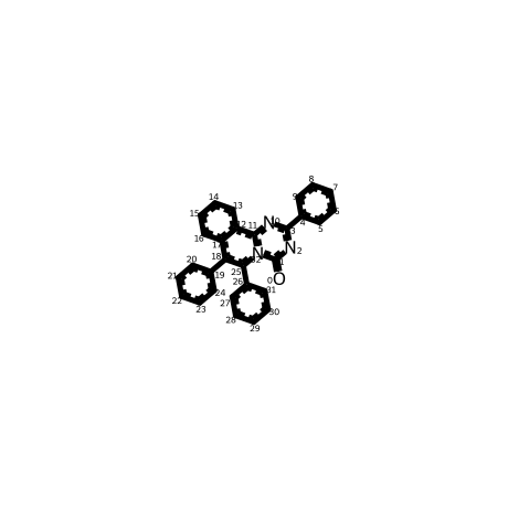 O=c1nc(-c2ccccc2)nc2c3ccccc3c(-c3ccccc3)c(-c3ccccc3)n12